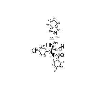 Cc1ccc(C(=O)c2nn(-c3ccc(Cl)cc3)c(NCCCN3Cc4ccccc4C3)c2C#N)cc1